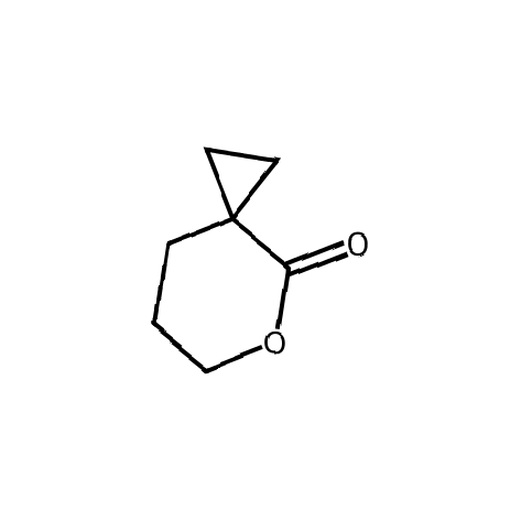 O=C1OCCCC12CC2